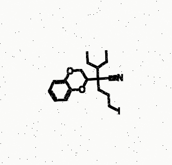 CCC(CC)C(C#N)(CCCI)C1COc2ccccc2O1